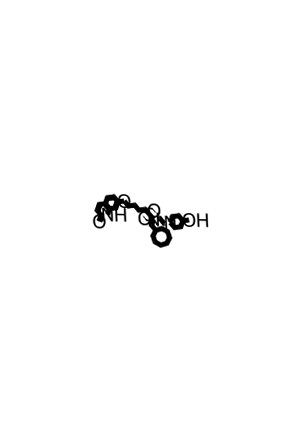 O=c1ccc2ccc(OCCCCS(=O)(=O)N(CCN3CCC(O)CC3)CC3CCCCCCC3)cc2[nH]1